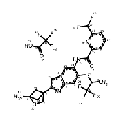 CC(Oc1cc2nc(C34COC(C)(C3)C4)cn2cc1NC(=O)c1cccc(C(F)F)n1)C(F)(F)F.O=C(O)C(F)(F)F